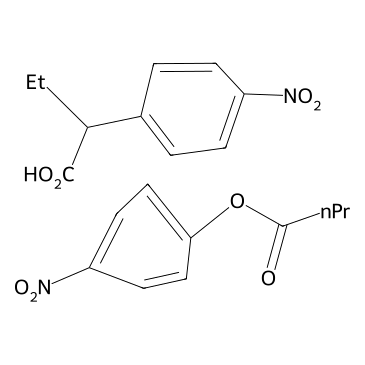 CCC(C(=O)O)c1ccc([N+](=O)[O-])cc1.CCCC(=O)Oc1ccc([N+](=O)[O-])cc1